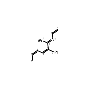 C=C/N=C(/C(=C\C=C/C)C(C)C)C(C)C